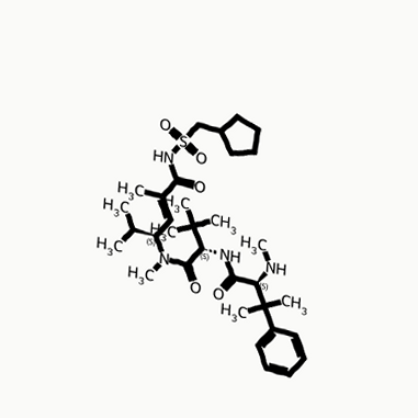 CN[C@H](C(=O)N[C@H](C(=O)N(C)[C@H](C=C(C)C(=O)NS(=O)(=O)CC1CCCC1)C(C)C)C(C)(C)C)C(C)(C)c1ccccc1